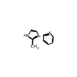 Cc1ncc[nH]1.c1ccncc1